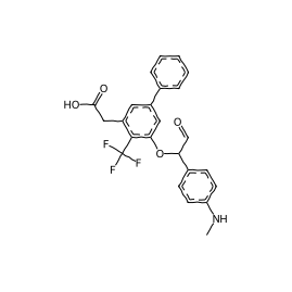 CNc1ccc(C(C=O)Oc2cc(-c3ccccc3)cc(CC(=O)O)c2C(F)(F)F)cc1